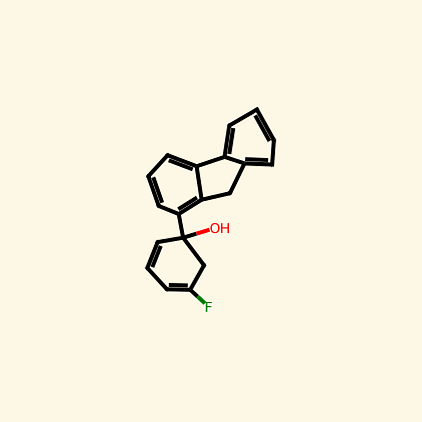 OC1(c2cccc3c2Cc2ccccc2-3)C=CC=C(F)C1